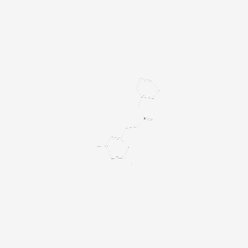 CC(C)(C)c1cc(CCC(=O)Oc2ccccc2)cc(C(C)(C)C)c1O